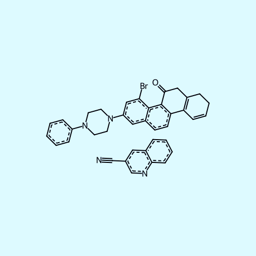 N#Cc1cnc2ccccc2c1.O=C1CC2=C(C=CCC2)c2ccc3cc(N4CCN(c5ccccc5)CC4)cc(Br)c3c21